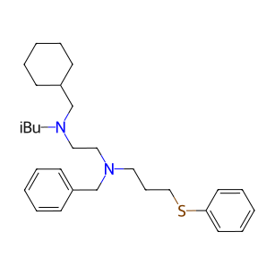 CCC(C)N(CCN(CCCSc1ccccc1)Cc1ccccc1)CC1CCCCC1